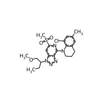 CCC(COC)n1nnc2c(N3CCCc4cc(C)cc(Cl)c43)nc(S(C)(=O)=O)cc21